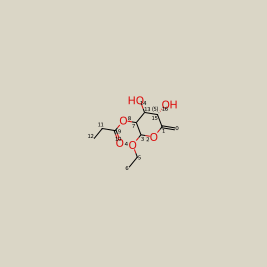 C=C1OC(OCC)C(OC(=O)CC)C(O)[C@@H]1O